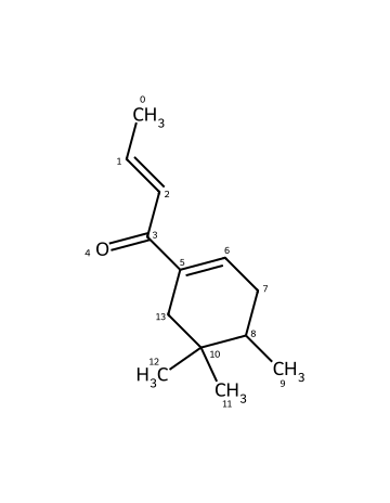 CC=CC(=O)C1=CCC(C)C(C)(C)C1